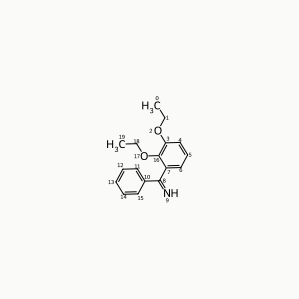 CCOc1cccc(C(=N)c2ccccc2)c1OCC